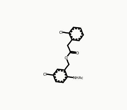 CC(=O)Nc1ccc(Cl)cc1COC(=O)Cc1ccccc1Cl